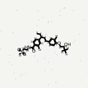 CCC(CCc1ccc(OCC(O)C(C)(C)C)c(C)c1)c1ccc(C(=O)NCCS(C)(=O)=O)c(C)c1